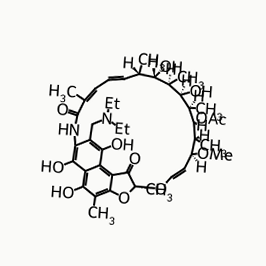 CCN(CC)Cc1c2c(O)c3c(O)c(C)c4c(c3c1O)C(=O)[C@@](C)(O/C=C/[C@H](OC)[C@@H](C)[C@@H](OC(C)=O)[C@H](C)[C@H](O)[C@H](C)[C@@H](O)[C@@H](C)/C=C/C=C(/C)C(=O)N2)O4